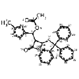 CC(=O)OC(c1csc(C)n1)C1C(=O)NC1SC(c1ccccc1)(c1ccccc1)c1ccccc1